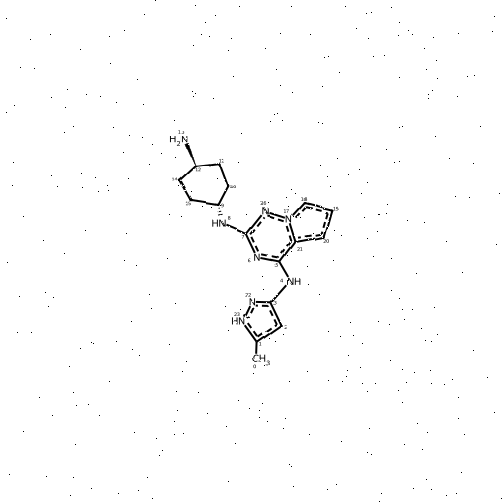 Cc1cc(Nc2nc(N[C@H]3CC[C@H](N)CC3)nn3cccc23)n[nH]1